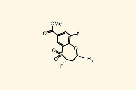 COC(=O)c1cc(F)c2c(c1)S(=O)(=O)[C@@H](F)C[C@H](C)O2